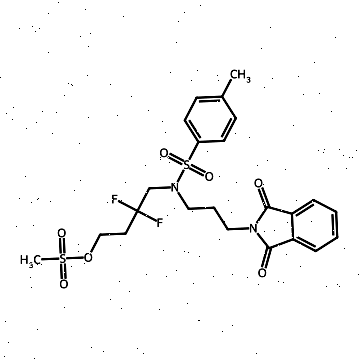 Cc1ccc(S(=O)(=O)N(CCCN2C(=O)c3ccccc3C2=O)CC(F)(F)CCOS(C)(=O)=O)cc1